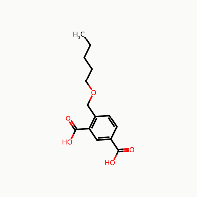 CCCCCOCc1ccc(C(=O)O)cc1C(=O)O